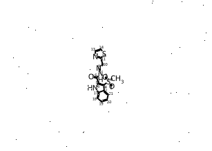 CS(=O)(=O)c1c(C(=O)NN=Cc2nccs2)[nH]c2ccccc12